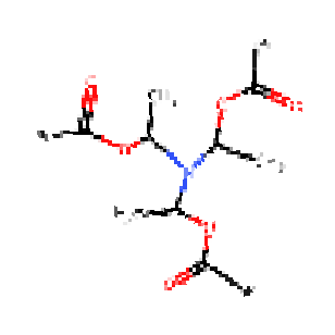 CC(C)C(=O)OC(C)N(C(C)OC(=O)C(C)C)C(C)OC(=O)C(C)C